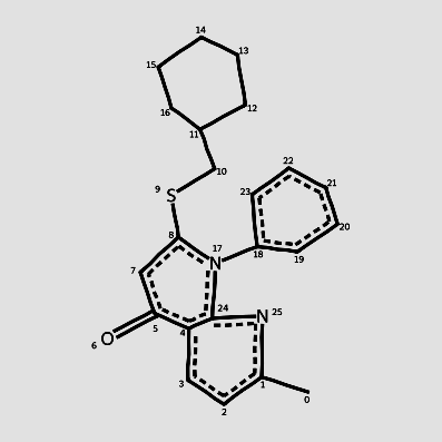 Cc1ccc2c(=O)cc(SCC3CCCCC3)n(-c3ccccc3)c2n1